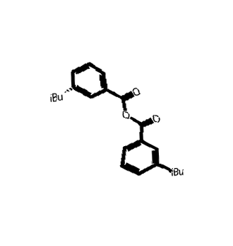 CCC(C)c1cccc(C(=O)OC(=O)c2cccc([C@@H](C)CC)c2)c1